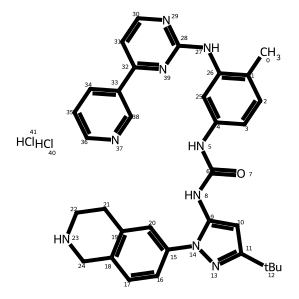 Cc1ccc(NC(=O)Nc2cc(C(C)(C)C)nn2-c2ccc3c(c2)CCNC3)cc1Nc1nccc(-c2cccnc2)n1.Cl.Cl